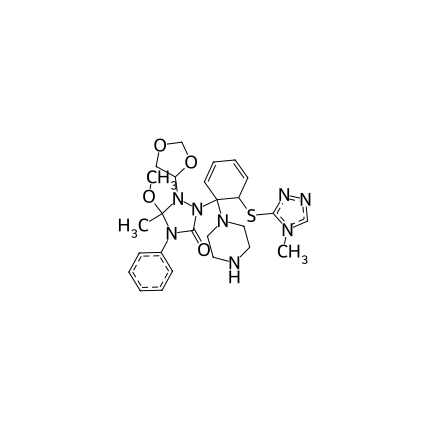 COC1(C)N(c2ccccc2)C(=O)N(C2(N3CCNCC3)C=CC=CC2Sc2nncn2C)N1C1COCO1